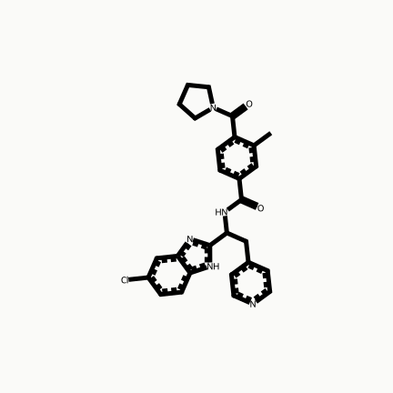 Cc1cc(C(=O)NC(Cc2ccncc2)c2nc3cc(Cl)ccc3[nH]2)ccc1C(=O)N1CCCC1